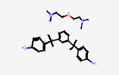 CC(C)(c1ccc(N)cc1)c1cccc(C(C)(C)c2ccc(N)cc2)c1.CN(C)CCOCCN(C)C